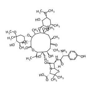 CC1(C)S[C@@H]2[C@H](NC(=O)[C@H](N)c3ccc(O)cc3)C(=O)N2[C@H]1C(=O)O.CC[C@H]1OC(=O)[C@H](C)[C@@H](O[C@H]2C[C@@](C)(OC)[C@@H](O)[C@H](C)O2)C(C)[C@@H](O[C@@H]2O[C@H](C)C[C@H](N(C)C)[C@H]2O)[C@](C)(OC)C[C@@H](C)C(=O)[C@H](C)[C@@H](O)[C@]1(C)O